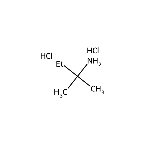 CCC(C)(C)N.Cl.Cl